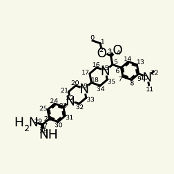 CCOC(=O)C(c1ccc(N(C)C)cc1)N1CCC(N2CCN(c3ccc(C(=N)N)cc3)CC2)CC1